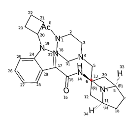 CC(=O)N1CCN(CCN2[C@@H]3CC[C@H]2C[C@@H](NC(=O)c2nn(C4CCC4)c4ccccc24)C3)CC1